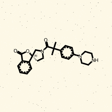 CC(C)(C(=O)N1CC[C@@]2(C1)OC(=O)c1ccccc12)c1ccc(N2CCNCC2)cc1